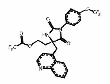 O=C1N[C@@](CCOC(=O)C(F)(F)F)(Cc2ccnc3ccccc23)C(=O)N1c1ccc(SC(F)(F)F)cc1